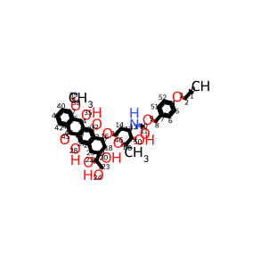 C#CCOc1ccc(COC(=O)N[C@H]2CC(O[C@H]3C[C@](O)(C(=O)CO)Cc4c(O)c5c(c(O)c43)C(=O)c3c(OC)cccc3C5=O)O[C@@H](C)[C@H]2O)cc1